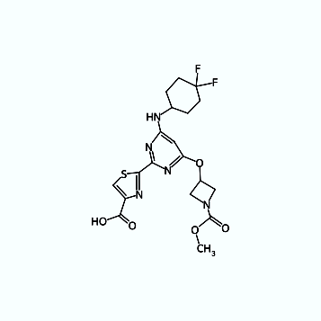 COC(=O)N1CC(Oc2cc(NC3CCC(F)(F)CC3)nc(-c3nc(C(=O)O)cs3)n2)C1